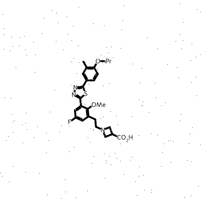 COc1c(CCN2CC(C(=O)O)C2)cc(F)cc1-c1nnc(-c2ccc(OC(C)C)c(C)c2)s1